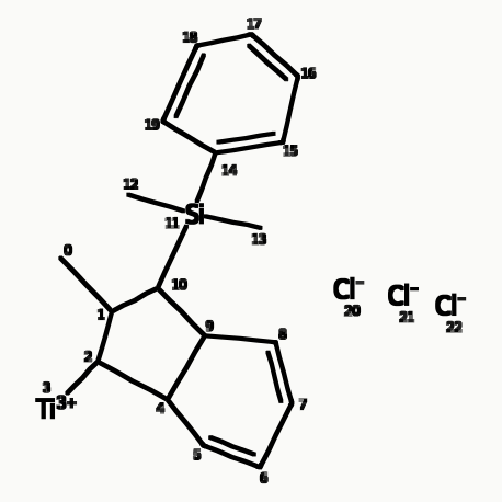 CC1[CH]([Ti+3])C2C=CC=CC2C1[Si](C)(C)c1ccccc1.[Cl-].[Cl-].[Cl-]